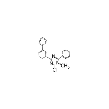 C=N/C(=N\C(=N/CCl)C1=CC(c2ccccc2)=CCC1)c1ccccc1